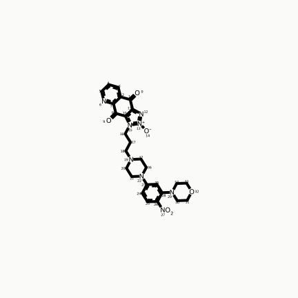 O=C1c2cccnc2C(=O)c2c1n[n+]([O-])n2CCCN1CCN(c2ccc([N+](=O)[O-])c(N3CCOCC3)c2)CC1